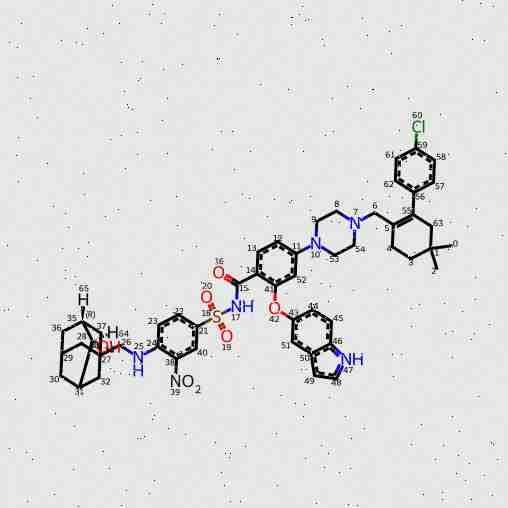 CC1(C)CCC(CN2CCN(c3ccc(C(=O)NS(=O)(=O)c4ccc(NCC56CC7CC(C5)[C@H](O)[C@H](C7)C6)c([N+](=O)[O-])c4)c(Oc4ccc5[nH]ccc5c4)c3)CC2)=C(c2ccc(Cl)cc2)C1